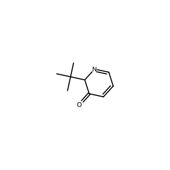 CC(C)(C)C1N=CC=CC1=O